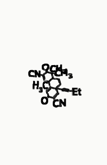 [C-]#[N+]C1=CC2(C)C3=CC(=O)C(C#N)=CC3(C#CCC)CCC2C(C)(C)C1=O